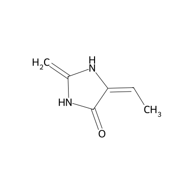 C=c1[nH]c(=O)c(=CC)[nH]1